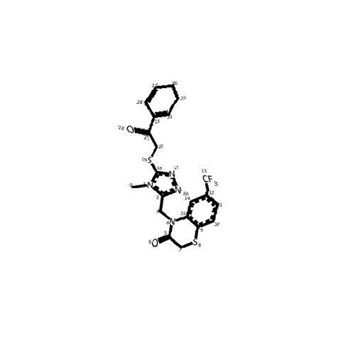 Cn1c(CN2C(=O)CSc3ccc(C(F)(F)F)cc32)nnc1SCC(=O)C1=CCCC=C1